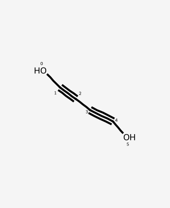 OC#CC#CO